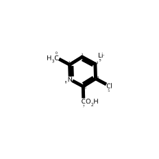 Cc1ccc(Cl)c(C(=O)O)n1.[Li]